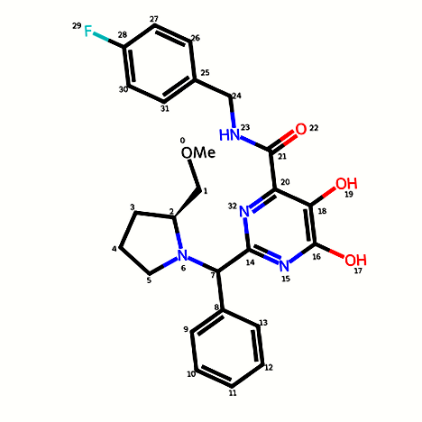 COC[C@@H]1CCCN1C(c1ccccc1)c1nc(O)c(O)c(C(=O)NCc2ccc(F)cc2)n1